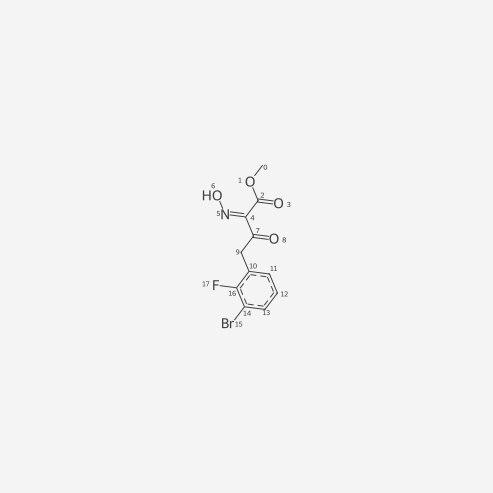 COC(=O)C(=NO)C(=O)Cc1cccc(Br)c1F